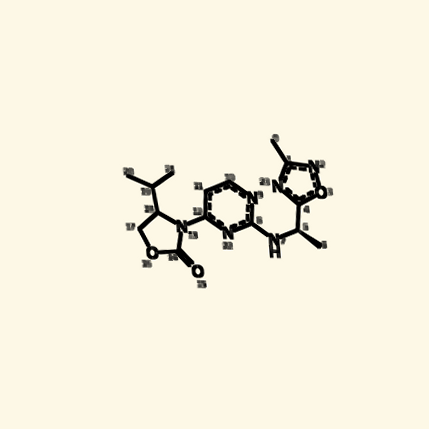 Cc1noc([C@@H](C)Nc2nccc(N3C(=O)OCC3C(C)C)n2)n1